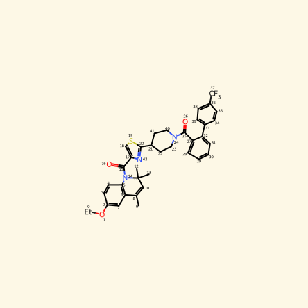 CCOc1ccc2c(c1)C(C)=CC(C)(C)N2C(=O)c1csc(C2CCN(C(=O)c3ccccc3-c3ccc(C(F)(F)F)cc3)CC2)n1